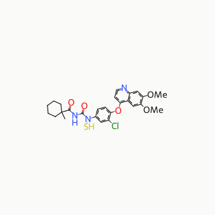 COc1cc2nccc(Oc3ccc(N(S)C(=O)NC(=O)C4(C)CCCCC4)cc3Cl)c2cc1OC